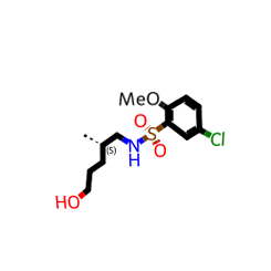 COc1ccc(Cl)cc1S(=O)(=O)NC[C@@H](C)CCCO